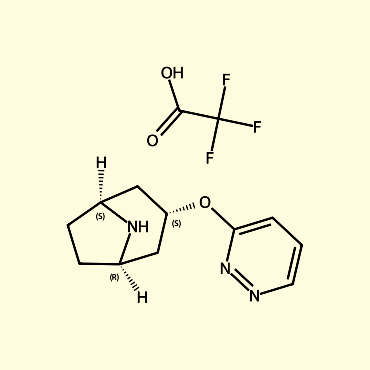 O=C(O)C(F)(F)F.c1cnnc(O[C@@H]2C[C@H]3CC[C@@H](C2)N3)c1